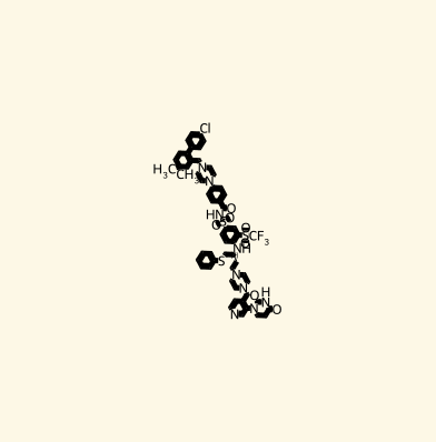 CC1(C)CCC(c2ccc(Cl)cc2)=C(CN2CCN(c3ccc(C(=O)NS(=O)(=O)c4ccc(N[C@H](CCN5CCN(Cc6ccncc6N6CCC(=O)NC6=O)CC5)CSc5ccccc5)c(S(=O)(=O)C(F)(F)F)c4)cc3)CC2)C1